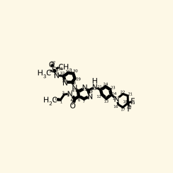 C=CCn1c(=O)c2cnc(Nc3ccc(N4CCC(F)(F)CC4)cc3)nc2n1-c1cccc(N=S(C)(C)=O)n1